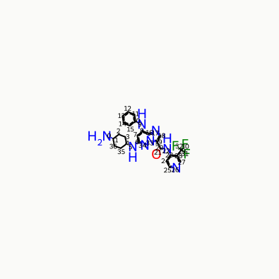 N[C@H]1CC[C@H](Nc2cc(Nc3ccccc3)c3ncc(C(=O)Nc4ccncc4C(F)(F)F)n3n2)CC1